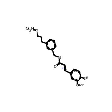 COc1cc(/C=C/C(=O)NCc2cccc(CCCO[N+](=O)[O-])c2)ccc1O